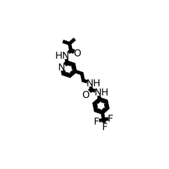 CC(C)C(=O)Nc1cc(CCNC(=O)Nc2ccc(C(F)(F)F)cc2)ccn1